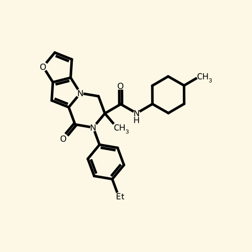 CCc1ccc(N2C(=O)c3cc4occc4n3CC2(C)C(=O)NC2CCC(C)CC2)cc1